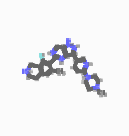 Cc1cc2c(c(F)c1-c1ncc3[nH]nc(-c4ccc(N5CCN(C)CC5)nc4)c3n1)CNCC2